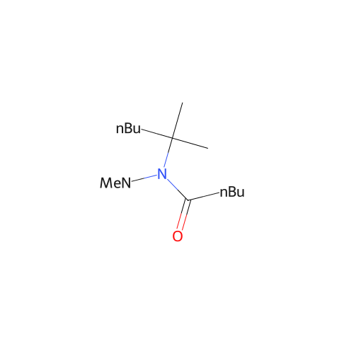 CCCCC(=O)N(NC)C(C)(C)CCCC